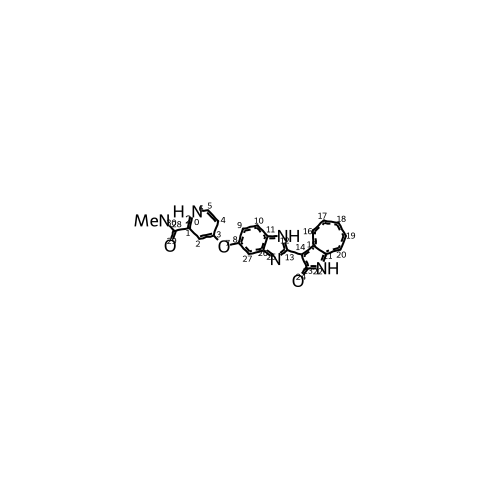 C=C(/C=C(\C=C/N)Oc1ccc2[nH]c(-c3c4cccccc-4[nH]c3=O)nc2c1)C(=O)NC